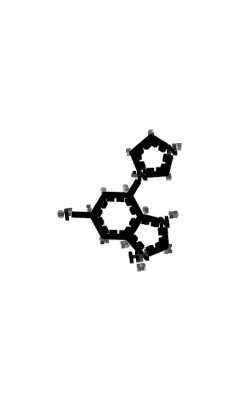 Fc1cc(-n2ccnc2)c2n[c][nH]c2c1